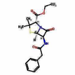 CC1(C)S[C@@H]2[C@H](NC(=O)Cc3ccccc3)C(=O)N2[C@H]1C(=O)OCC(Cl)(Cl)Cl